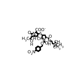 C[C@@H](O)[C@H]1C(=O)N2C(C(=O)[O-])=C(S[C@H]3C[C@@H](C(=O)NCC[N+](C)(C)C)N(C(=O)OCc4ccc([N+](=O)[O-])cc4)C3)[C@H](C)[C@H]12